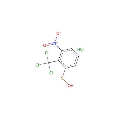 Cl.O=[N+]([O-])c1cccc(SO)c1C(Cl)(Cl)Cl